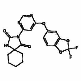 O=C1NC2(CCCCC2)C(=O)N1c1cc(Oc2ccc3c(c2)OC(F)(F)O3)ncn1